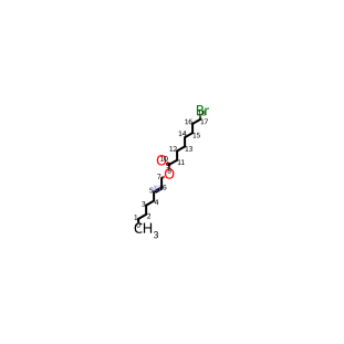 CCCCC/C=C/COC(=O)CCCCCCCBr